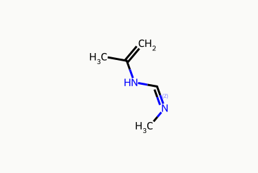 C=C(C)N/C=N\C